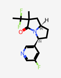 CC(F)(F)C1(C)C[C@H]2CC[C@@H](c3cncc(F)c3)N2C1=O